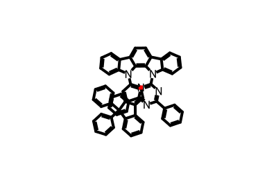 c1ccc(-c2nc(-c3ccccc3)nc(-n3c4ccccc4c4ccc5c6ccccc6n(-c6ccc7c(c6)C(c6ccccc6)(c6ccccc6)c6ccccc6-7)c5c43)n2)cc1